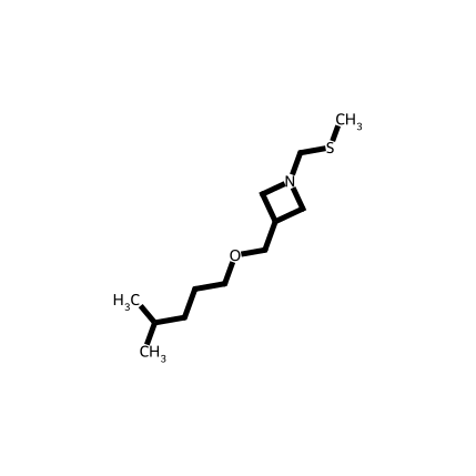 CSCN1CC(COCCCC(C)C)C1